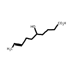 CC=CCCC(O)CCCC(=O)O